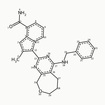 Cc1cc2c(C(N)=O)cccn2c1-c1nc2c(c(NCc3ccccc3)n1)CCCOC2